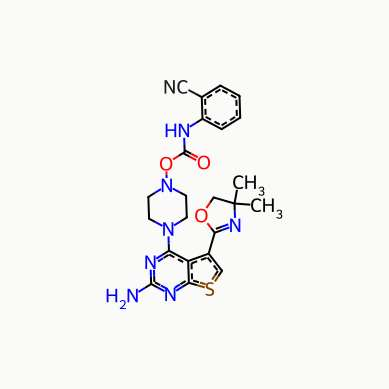 CC1(C)COC(c2csc3nc(N)nc(N4CCN(OC(=O)Nc5ccccc5C#N)CC4)c23)=N1